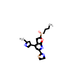 CCCC[S+]([O-])c1cc2c(C3=CN=C(C)C3)cc(-c3nccs3)nc2o1